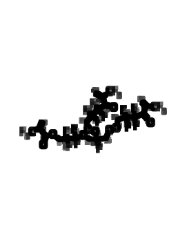 C=C(C(=O)OCC(F)(F)C(F)(F)OCC(F)(COOCC(F)(F)C(F)(F)C(=O)C(=C)C(F)(F)F)OOCC(F)(F)C(F)(F)C(=O)C(=C)C(F)(F)F)C(F)(F)F